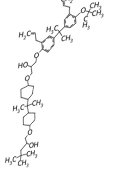 C=CCc1cc(C(C)(C)c2ccc(OC(C)(C)C)c(CC=C)c2)ccc1OCC(O)COC1CCC(C(C)(C)C2CCC(OCC(O)CC(C)(C)C)CC2)CC1